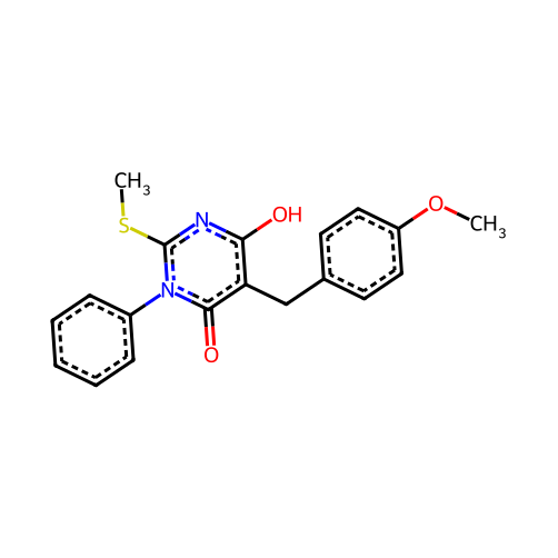 COc1ccc(Cc2c(O)nc(SC)n(-c3ccccc3)c2=O)cc1